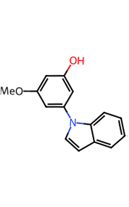 COc1cc(O)cc(-n2ccc3c[c]ccc32)c1